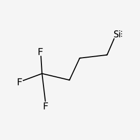 FC(F)(F)CCC[Si]